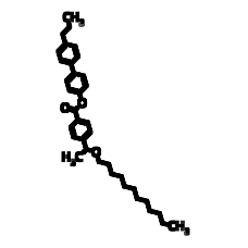 CCCCCCCCCCCCOC(C)c1ccc(C(=O)Oc2ccc(-c3ccc(CCC)cc3)cc2)cc1